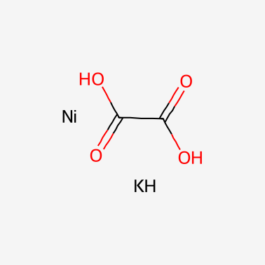 O=C(O)C(=O)O.[KH].[Ni]